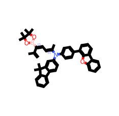 C=C(C)/C(=C\C=C(/C)N(c1ccc(-c2cccc3c2oc2ccccc23)cc1)c1ccc2c(c1)C(C)(C)c1ccccc1-2)B1OC(C)(C)C(C)(C)O1